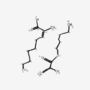 C=C(C)C(=O)OCCCCC.CCCCCCC=C(C)C(=O)O